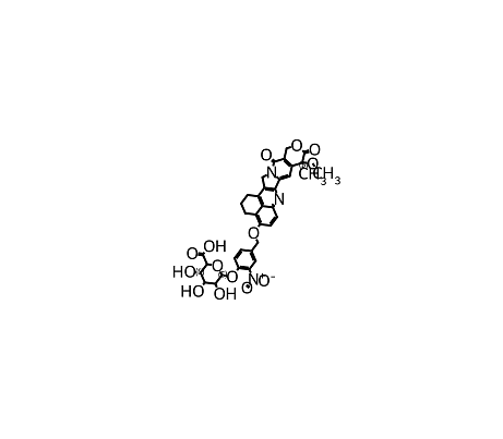 CO[C@]1(C)C(=O)OCc2c1cc1n(c2=O)Cc2c-1nc1ccc(OCc3ccc(O[C@@H]4OC(C(=O)O)[C@@H](O)C(O)C4O)c([N+](=O)[O-])c3)c3c1c2CCC3